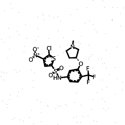 CN1CC[C@@H](Oc2cc(NS(=O)(=O)c3cc([N+](=O)[O-])c(Cl)s3)ccc2C(F)(F)F)C1